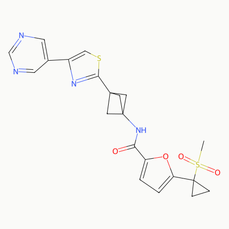 CS(=O)(=O)C1(c2ccc(C(=O)NC34CC(c5nc(-c6cncnc6)cs5)(C3)C4)o2)CC1